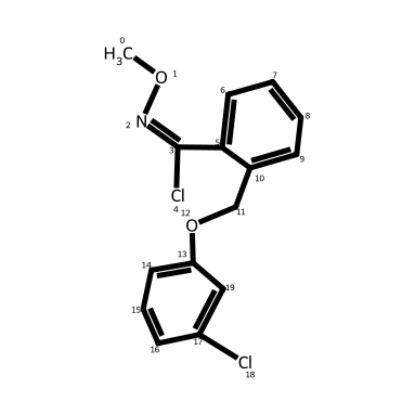 CO/N=C(/Cl)c1ccccc1COc1cccc(Cl)c1